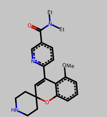 CCN(CC)C(=O)c1ccc(C2=CC3(CCNCC3)Oc3cccc(OC)c32)nc1